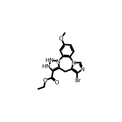 CCOC(=O)C1=C2Cc3c(Br)ncn3-c3ccc(OC)cc3N2NN1